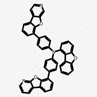 c1ccc2c(c1)oc1cccc(N(c3ccc(-c4cccc5c4oc4cnccc45)cc3)c3ccc(-c4cccc5c4oc4ncccc45)cc3)c12